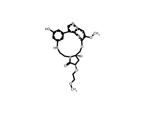 COCCO[C@@H]1C[C@H]2COc3nc4c(cnn4cc3OC)-c3cc(O)cc(c3)NCCN2C1=O